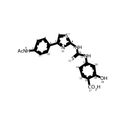 CC(=O)Nc1ccc(-c2csc(NC(=S)Nc3ccc(C(=O)O)c(O)c3)n2)cc1